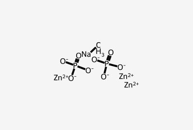 O=P([O-])([O-])[O-].O=P([O-])([O-])[O-].[CH3][Na].[Zn+2].[Zn+2].[Zn+2]